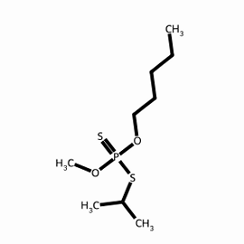 CCCCCOP(=S)(OC)SC(C)C